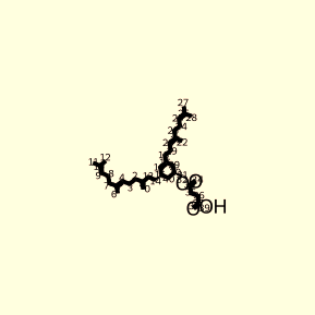 C=C(CC/C=C(\C)CCC=C(C)C)CC[C@H]1C=C(CC/C=C(\C)CCC=C(C)C)C[C@@H](COC(=O)CCC(=O)O)C1